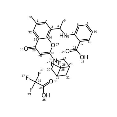 Cc1cc(C(C)Nc2ccccc2C(=O)O)c2oc(N3CC4CC(C3)C4(F)F)cc(=O)c2c1.O=C(O)C(F)(F)F